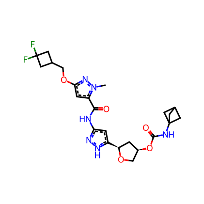 Cn1nc(OCC2CC(F)(F)C2)cc1C(=O)Nc1cc([C@H]2C[C@@H](OC(=O)NC34CC(C3)C4)CO2)[nH]n1